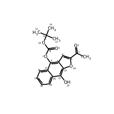 CC(=O)c1cc2c(OC(=O)OC(C)(C)C)c3ccccc3c(O)c2o1